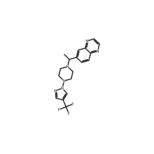 CC(c1ccc2nccnc2c1)N1CCN(n2cc(C(F)(F)F)cn2)CC1